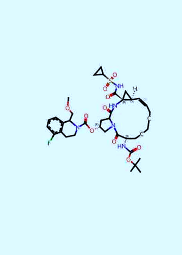 COCC1c2cccc(F)c2CCN1C(=O)O[C@@H]1CC2C(=O)N[C@]3(C(=O)NS(=O)(=O)C4CC4)C[C@H]3/C=C\CCCCC[C@H](NC(=O)OC(C)(C)C)C(=O)N2C1